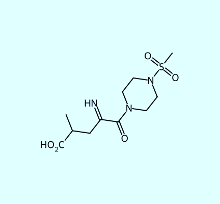 CC(CC(=N)C(=O)N1CCN(S(C)(=O)=O)CC1)C(=O)O